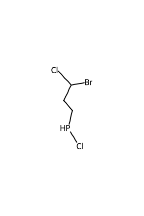 ClPCCC(Cl)Br